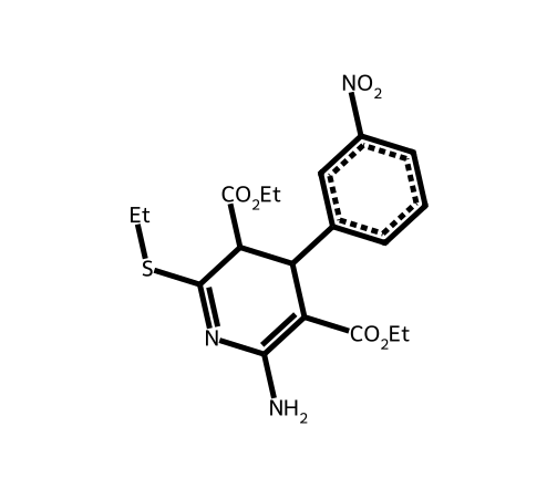 CCOC(=O)C1=C(N)N=C(SCC)C(C(=O)OCC)C1c1cccc([N+](=O)[O-])c1